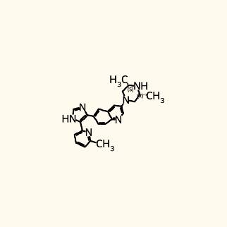 Cc1cccc(-c2[nH]cnc2-c2ccc3ncc(N4C[C@@H](C)N[C@@H](C)C4)cc3c2)n1